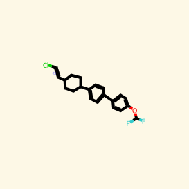 FC(F)Oc1ccc(-c2ccc(C3CCC(/C=C/Cl)CC3)cc2)cc1